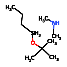 CCC[SiH2]OC(C)(C)C.CNC